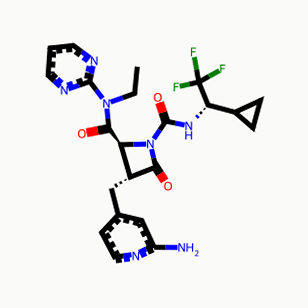 CCN(C(=O)[C@@H]1[C@@H](Cc2ccnc(N)c2)C(=O)N1C(=O)N[C@@H](C1CC1)C(F)(F)F)c1ncccn1